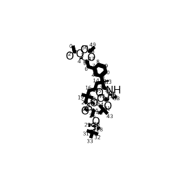 CC(=O)OC[C@@H](Cc1cccc([C@@](C)(CCCC(C)(C)CS(=O)(=O)CCO[Si](C)(C)C(C)(C)C)C(=O)NN(C)C(=O)OC(C)(C)C)c1)OC(C)=O